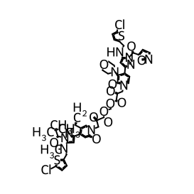 C=Cc1cn(CC(=O)C(=O)OCOC(=O)C(=O)Cn2ccc(-c3cc(NCc4ccc(Cl)s4)n(C(=O)c4ccno4)n3)c(N3CCOCC3)c2=O)c(=O)cc1-c1cc(N(C)Cc2ccc(Cl)s2)n(C(=O)C(C)(C)C)n1